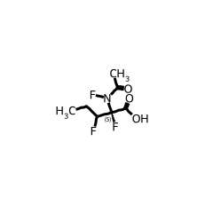 CCC(F)[C@@](F)(C(=O)O)N(F)C(C)=O